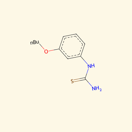 CCCCOc1cccc(NC(N)=S)c1